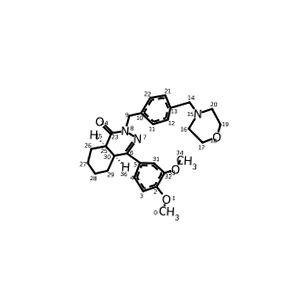 COc1ccc(C2=NN(Cc3ccc(CN4CCOCC4)cc3)C(=O)[C@@H]3CCCC[C@H]23)cc1OC